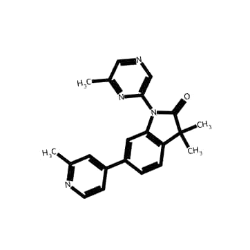 Cc1cc(-c2ccc3c(c2)N(c2cncc(C)n2)C(=O)C3(C)C)ccn1